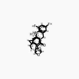 CNC(=O)Nc1ccc2c(c1)CC[C@@]21OC2OC1N2CC(=O)N(Cc1cc(F)cc(F)c1)[C@@H](C)C1CC1